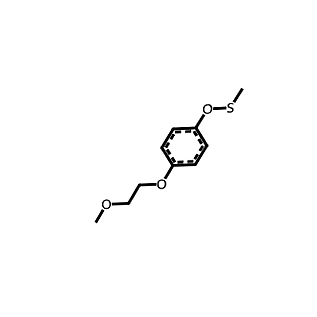 COCCOc1ccc(OSC)cc1